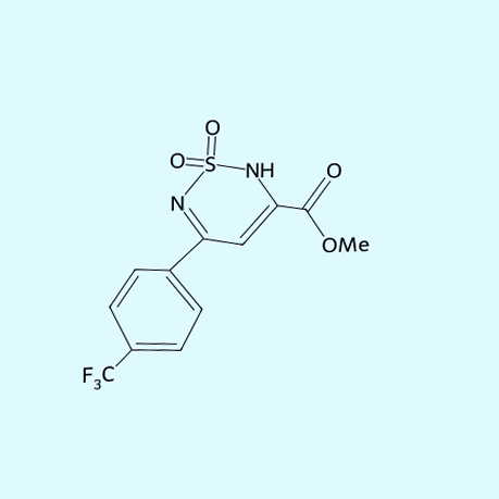 COC(=O)C1=CC(c2ccc(C(F)(F)F)cc2)=NS(=O)(=O)N1